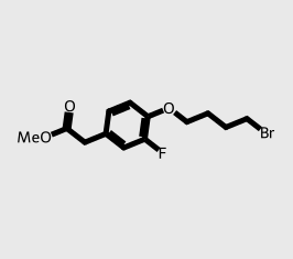 COC(=O)Cc1ccc(OCCCCBr)c(F)c1